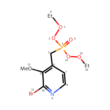 CCOOP(=O)(Cc1ccnc(Br)c1OC)OOCC